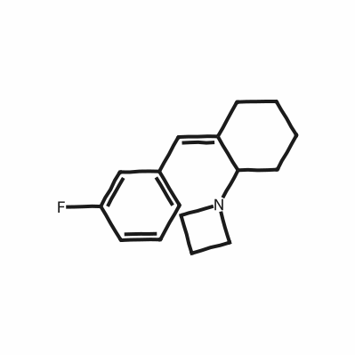 Fc1cccc(/C=C2/CCCCC2N2CCC2)c1